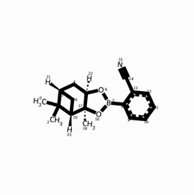 CC1(C)[C@@H]2C[C@H]3OB(c4ccccc4C#N)O[C@@]3(C)[C@H]1C2